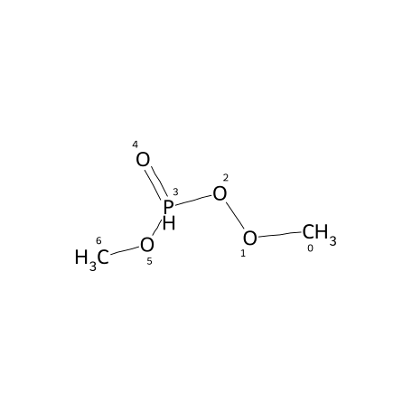 COO[PH](=O)OC